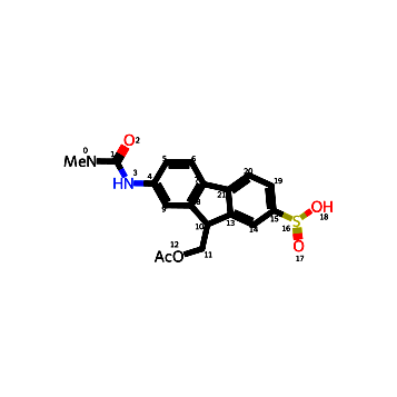 CNC(=O)Nc1ccc2c(c1)C(COC(C)=O)c1cc(S(=O)O)ccc1-2